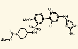 COc1ccc(-c2c(Cl)cc(Nc3n[nH]c(N)n3)cc2C(F)(F)F)cc1S(=O)(=O)NC1CCN(C(=O)OC(C)(C)C)CC1